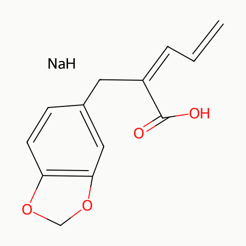 C=CC=C(Cc1ccc2c(c1)OCO2)C(=O)O.[NaH]